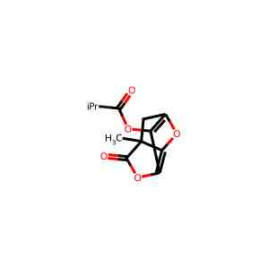 CC(C)C(=O)Oc1c2oc3c1OC(=O)C3(C)C2